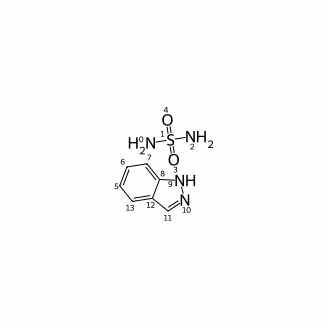 NS(N)(=O)=O.c1ccc2[nH]ncc2c1